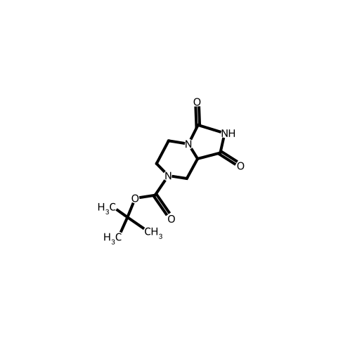 CC(C)(C)OC(=O)N1CCN2C(=O)NC(=O)C2C1